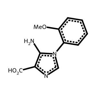 COc1ccccc1-n1cnc(C(=O)O)c1N